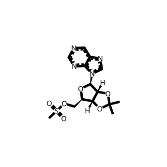 CC1(C)O[C@@H]2[C@H](O1)[C@@H](COS(C)(=O)=O)O[C@H]2n1cnc2cncnc21